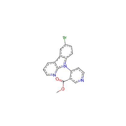 COC(=O)c1cnccc1-n1c2ccc(Br)cc2c2cccnc21